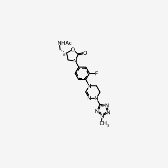 CC(=O)NC[C@H]1CN(c2ccc(N3C=NN(c4nnn(C)n4)CC3)c(F)c2)C(=O)O1